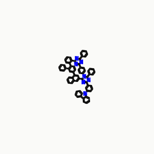 c1ccc(-c2nc(-c3cccc(-n4c5ccccc5c5ccccc54)c3)nc(-c3cc(-c4ccc(-c5ccccc5-c5nc(-c6ccccc6)nc(-c6ccccc6)n5)c(-c5ccccc5)c4)c4ccccc4c3)n2)cc1